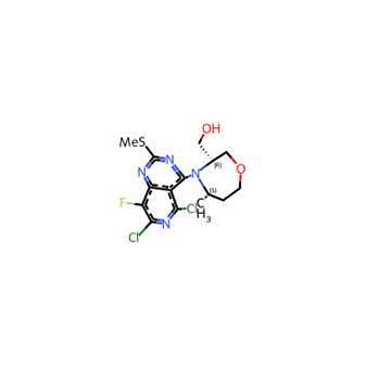 CSc1nc(N2[C@H](CO)COCC[C@@H]2C)c2c(Cl)nc(Cl)c(F)c2n1